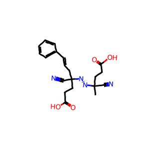 CC(C#N)(CCC(=O)O)N=NC(C#N)(CC=Cc1ccccc1)CCC(=O)O